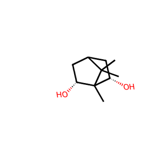 CC1(C)C2C[C@@H](O)C1(C)[C@@H](O)C2